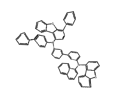 c1ccc(-c2ccc(N(c3cccc(-c4cccc(N(c5cccc6ccccc56)c5cccc6sc7ccccc7c56)c4)c3)c3ccc(-c4ccccc4)c4sc5ccccc5c34)cc2)cc1